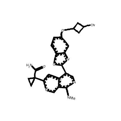 CNc1ncc(-c2nc3cc(OC4CC(C#N)C4)ccc3o2)c2cc(C3(C(N)=O)CC3)ncc12